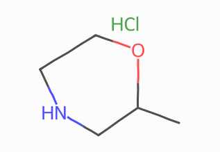 CC1CNCCO1.Cl